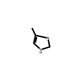 CC1=CNC[N]1